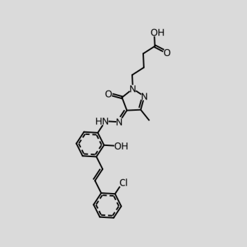 CC1=NN(CCCC(=O)O)C(=O)/C1=N\Nc1cccc(/C=C/c2ccccc2Cl)c1O